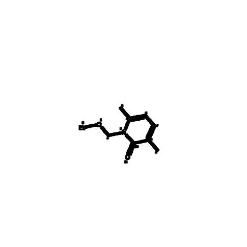 CCOCn1c(C)ccc(C)c1=O